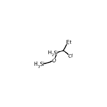 CCC(Cl)[SiH2]O[SiH3]